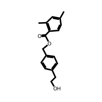 Cc1ccc(C(=O)OCc2ccc(CCO)cc2)c(C)c1